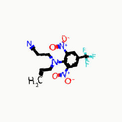 C=CCN(CCC#N)c1c([N+](=O)[O-])cc(C(F)(F)F)cc1[N+](=O)[O-]